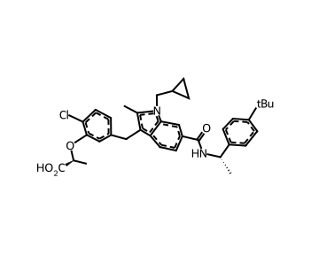 Cc1c(Cc2ccc(Cl)c(O[C@@H](C)C(=O)O)c2)c2ccc(C(=O)N[C@@H](C)c3ccc(C(C)(C)C)cc3)cc2n1CC1CC1